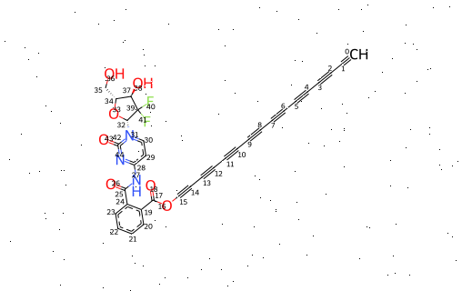 C#CC#CC#CC#CC#CC#CC#CC#COC(=O)c1ccccc1C(=O)Nc1ccn([C@@H]2O[C@H](CO)[C@@H](O)C2(F)F)c(=O)n1